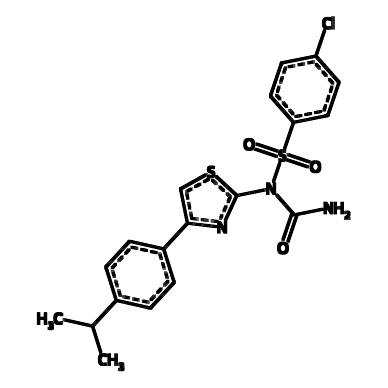 CC(C)c1ccc(-c2csc(N(C(N)=O)S(=O)(=O)c3ccc(Cl)cc3)n2)cc1